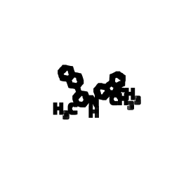 CC1C=C(c2ccc3ccccc3c2)C=C(Nc2ccc3c(c2)C(C)(C)c2ccccc2-3)C1